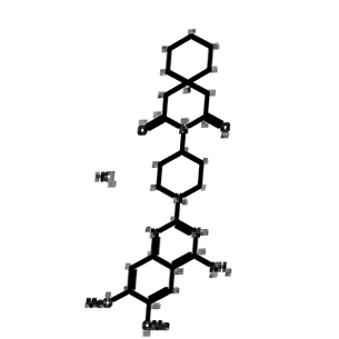 COc1cc2nc(N3CCC(N4C(=O)CC5(CCCCC5)CC4=O)CC3)nc(N)c2cc1OC.Cl